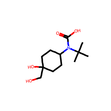 CC(C)(C)N(C(=O)O)C1CCC(O)(CO)CC1